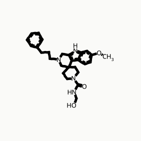 COc1ccc2c3c([nH]c2c1)CN(CCCc1ccccc1)CC31CCN(C(=O)NCO)CC1